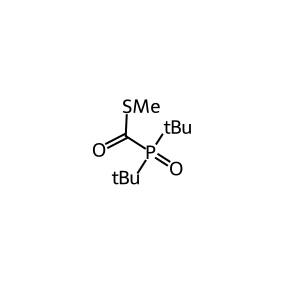 CSC(=O)P(=O)(C(C)(C)C)C(C)(C)C